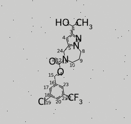 CC(O)c1cc2n(n1)CCCN(C(=O)OCc1cc(Cl)cc(C(F)(F)F)c1)C2